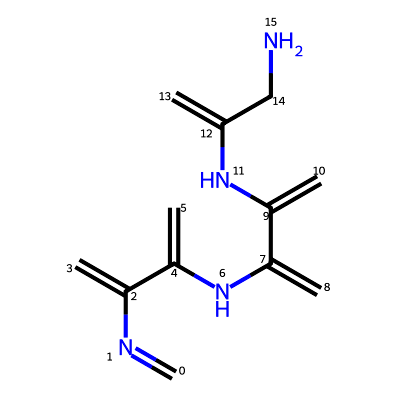 C=NC(=C)C(=C)NC(=C)C(=C)NC(=C)CN